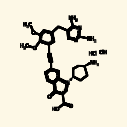 COc1cc(Cc2cnc(N)nc2N)cc(C#Cc2ccc3c(=O)c(C(=O)O)cn([C@H]4CC[C@H](N)CC4)c3c2)c1OC.Cl.Cl